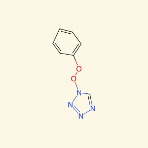 c1ccc(OOn2cnnn2)cc1